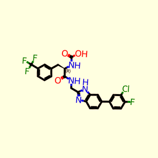 O=C(O)N[C@H](Cc1cccc(C(F)(F)F)c1)C(=O)NCc1nc2ccc(-c3ccc(F)c(Cl)c3)cc2[nH]1